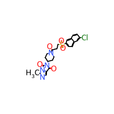 Cc1ncc2n1C(=O)N(C1CCN(C(=O)CCS(=O)(=O)c3ccc4cc(Cl)ccc4c3)CC1)C2=O